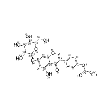 CC(=O)Oc1ccc(-c2coc3cc(O[C@@H]4OC(CO)[C@@H](O)C(O)C4O)cc(O)c3c2=O)cc1